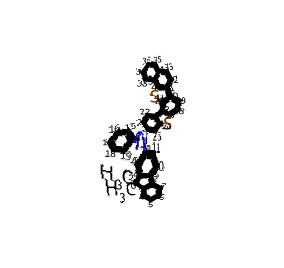 CC1(C)c2ccccc2-c2ccc(N(c3ccccc3)c3ccc4c(c3)sc3ccc5c6ccc7ccccc7c6sc5c34)cc21